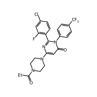 CCC(=O)N1CCN(c2cc(=O)n(-c3ccc(C(F)(F)F)cc3)c(-c3ccc(Cl)cc3F)n2)CC1